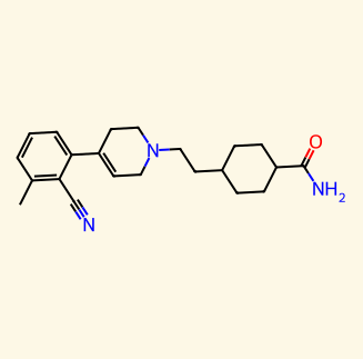 Cc1cccc(C2=CCN(CCC3CCC(C(N)=O)CC3)CC2)c1C#N